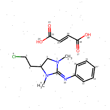 CN1CC(CCCl)N(C)C1=Nc1ccccc1.O=C(O)C=CC(=O)O